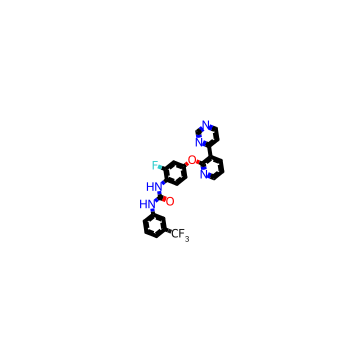 O=C(Nc1cccc(C(F)(F)F)c1)Nc1ccc(Oc2ncccc2-c2ccncn2)cc1F